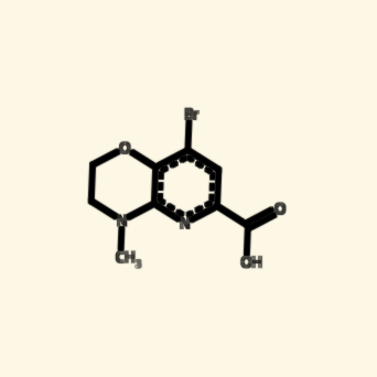 CN1CCOc2c(Br)cc(C(=O)O)nc21